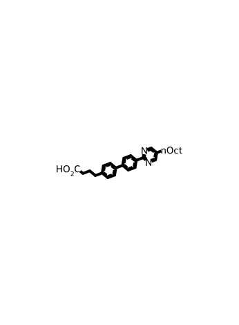 CCCCCCCCc1cnc(-c2ccc(-c3ccc(CCCC(=O)O)cc3)cc2)nc1